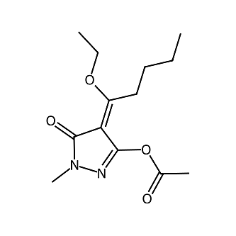 CCCCC(OCC)=C1C(=O)N(C)N=C1OC(C)=O